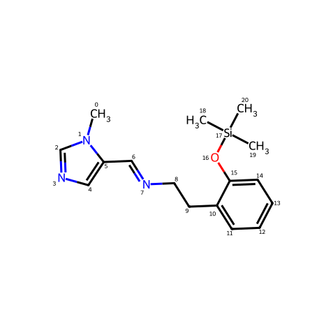 Cn1cncc1C=NCCc1ccccc1O[Si](C)(C)C